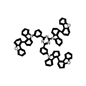 c1cc(-c2nc(-c3cccc(-n4c5ccccc5c5c(-c6cccc7oc8ccccc8c67)cccc54)c3)nc(-n3c4ccccc4c4c(-c5cccc6oc7ccccc7c56)cccc43)n2)cc(-n2c3ccccc3c3c(-c4cccc5oc6ccccc6c45)cccc32)c1